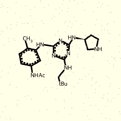 CC(=O)Nc1ccc(C)c(Nc2nc(NCC(C)(C)C)nc(N[C@H]3CCNC3)n2)c1